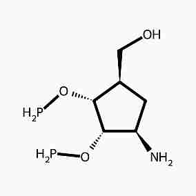 N[C@@H]1C[C@H](CO)[C@@H](OP)[C@H]1OP